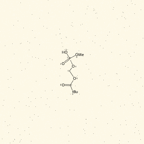 COP(=O)(O)OCOC(=O)C(C)(C)C